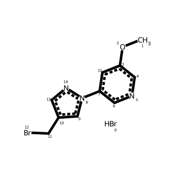 Br.COc1cncc(-n2cc(CBr)cn2)c1